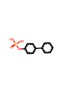 O=P(O)(O)Oc1ccc(-c2ccccc2)cc1